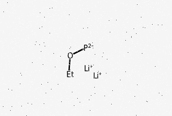 CCO[P-2].[Li+].[Li+]